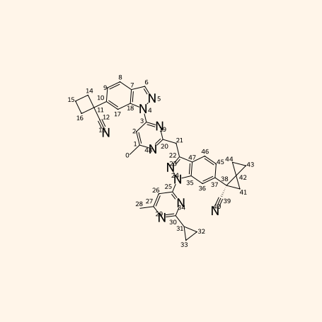 Cc1cc(-n2ncc3ccc(C4(C#N)CCC4)cc32)nc(Cc2nn(-c3cc(C)nc(C4CC4)n3)c3cc([C@]4(C#N)CC45CC5)ccc23)n1